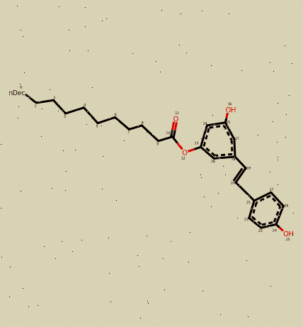 CCCCCCCCCCCCCCCCCCCC(=O)Oc1cc(O)cc(C=Cc2ccc(O)cc2)c1